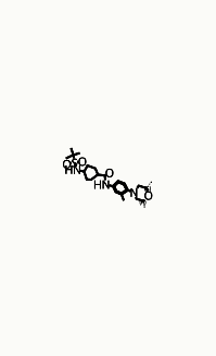 Cc1cc(NC(=O)C2CCC(NS(=O)(=O)C(C)(C)C)CC2)ccc1N1C[C@@H](C)O[C@@H](C)C1